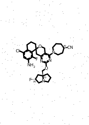 N#C[C@@H]1CCCN(c2nc(OC[C@@]34CCCN3C[C@H](F)C4)nc3c2COC2(CCCc4c(Cl)cc(N)c(F)c42)C3)CC1